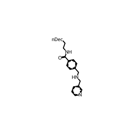 CCCCCCCCCCCCNC(=O)c1ccc(CNCc2cccnc2)cc1